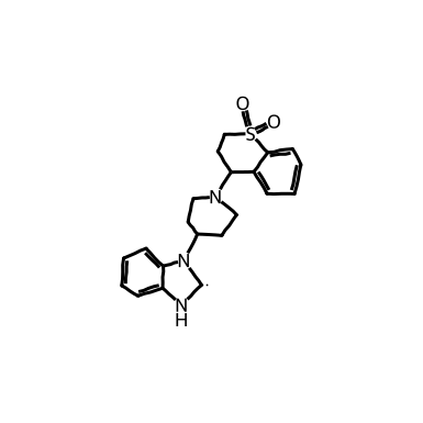 O=S1(=O)CCC(N2CCC(N3[CH]Nc4ccccc43)CC2)c2ccccc21